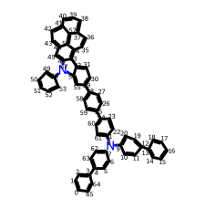 c1ccc(-c2ccc(N(c3ccc(-c4ccccc4)cc3)c3ccc(-c4ccc(-c5ccc6c7c8ccc9cccc%10ccc(cc7n(-c7ccccc7)c6c5)c8c%109)cc4)cc3)cc2)cc1